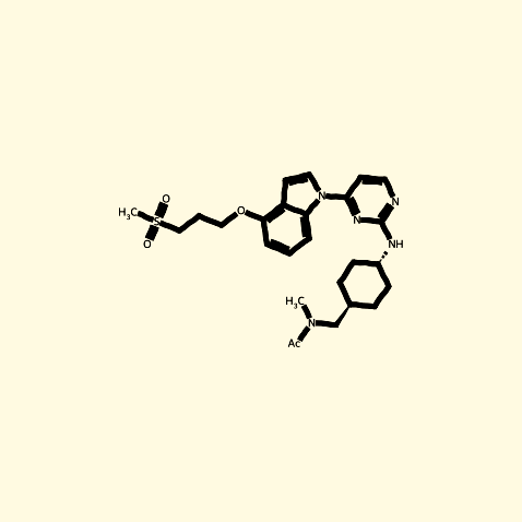 CC(=O)N(C)C[C@H]1CC[C@H](Nc2nccc(-n3ccc4c(OCCCS(C)(=O)=O)cccc43)n2)CC1